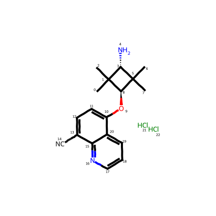 CC1(C)[C@H](N)C(C)(C)[C@H]1Oc1ccc(C#N)c2ncccc12.Cl.Cl